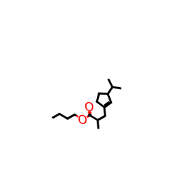 CCCCOC(=O)C(C)CC1=CC(C(C)C)CC1